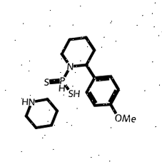 C1CCNCC1.COc1ccc(C2CCCCN2[PH](=S)S)cc1